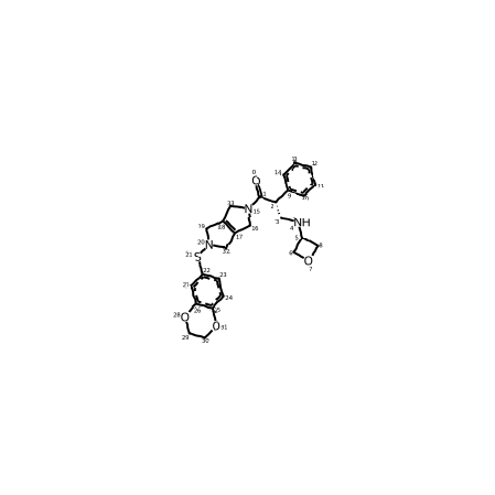 O=C([C@@H](CNC1COC1)c1ccccc1)N1CC2=C(CN(Sc3ccc4c(c3)OCCO4)C2)C1